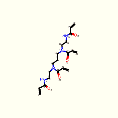 C=CC(=O)NCCN(CCCN(CCNC(=O)C=C)C(=O)C=C)C(=O)C=C